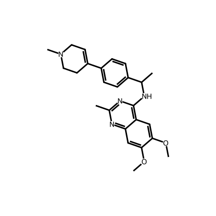 COc1cc2nc(C)nc(NC(C)c3ccc(C4=CCN(C)CC4)cc3)c2cc1OC